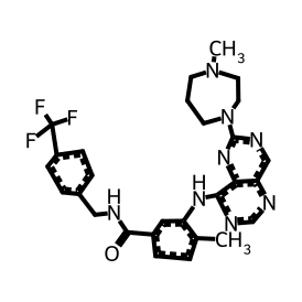 Cc1ccc(C(=O)NCc2ccc(C(F)(F)F)cc2)cc1Nc1ncnc2cnc(N3CCCN(C)CC3)nc12